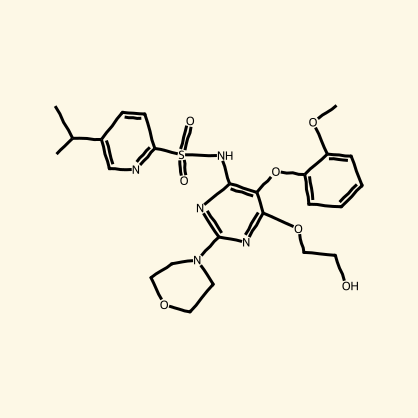 COc1ccccc1Oc1c(NS(=O)(=O)c2ccc(C(C)C)cn2)nc(N2CCOCC2)nc1OCCO